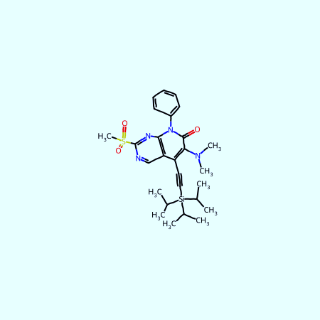 CC(C)[Si](C#Cc1c(N(C)C)c(=O)n(-c2ccccc2)c2nc(S(C)(=O)=O)ncc12)(C(C)C)C(C)C